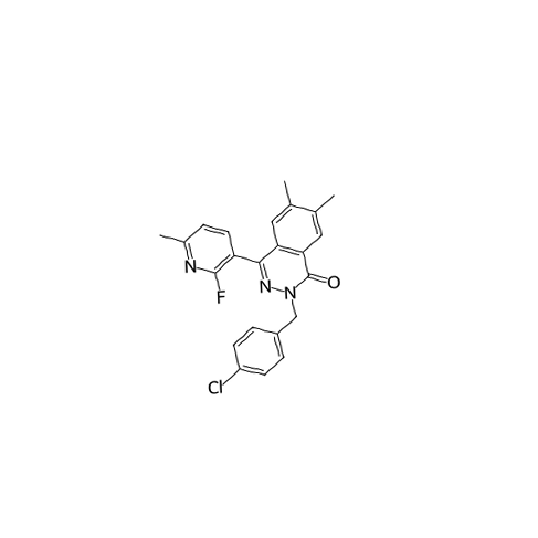 Cc1ccc(-c2nn(Cc3ccc(Cl)cc3)c(=O)c3cc(C)c(C)cc23)c(F)n1